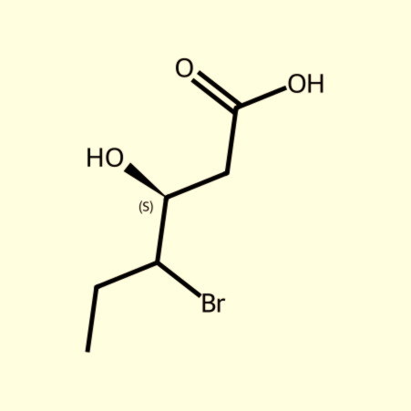 CCC(Br)[C@@H](O)CC(=O)O